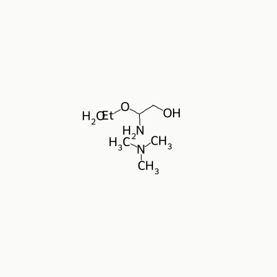 CCOC(N)CO.CN(C)C.O